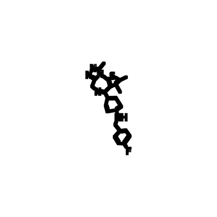 Cc1sc2c(c1C)C(c1ccc(NCc3ccc(F)cc3)cc1)=NCc1nnc(C)n1-2